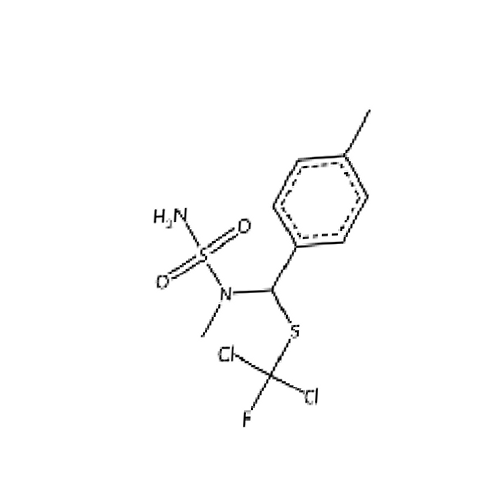 Cc1ccc(C(SC(F)(Cl)Cl)N(C)S(N)(=O)=O)cc1